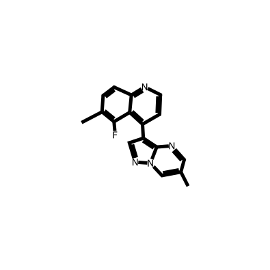 Cc1cnc2c(-c3ccnc4ccc(C)c(F)c34)cnn2c1